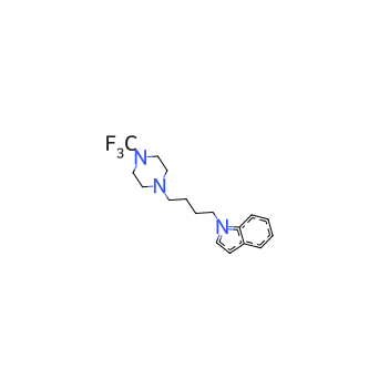 FC(F)(F)N1CCN(CCCCn2ccc3ccccc32)CC1